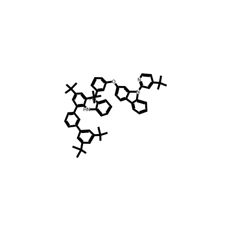 CC(C)(C)c1cc(-c2cccc(-c3cc(C(C)(C)C)cc(C(C)(C)C)c3Nc3ccccc3Nc3cccc(Oc4ccc5c6ccccc6n(-c6cc(C(C)(C)C)ccn6)c5c4)c3)c2)cc(C(C)(C)C)c1